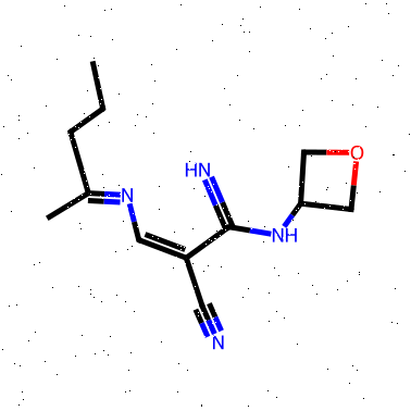 CCC/C(C)=N/C=C(/C#N)C(=N)NC1COC1